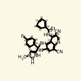 BC(Nc1cc(C#N)c2ncc(C#N)c(N[C@H](CC)c3ccccc3)c2c1)(C1=CN(C)NN1)c1ccc(F)cc1